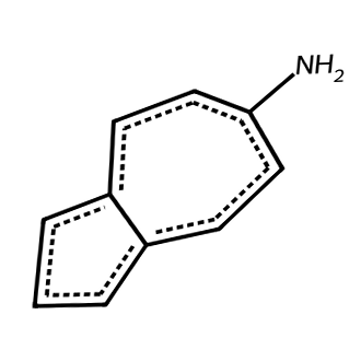 Nc1ccc2cccc-2cc1